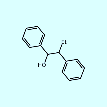 CC[C](c1ccccc1)C(O)c1ccccc1